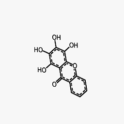 O=c1c2ccccc2oc2c(O)c(O)c(O)c(O)c12